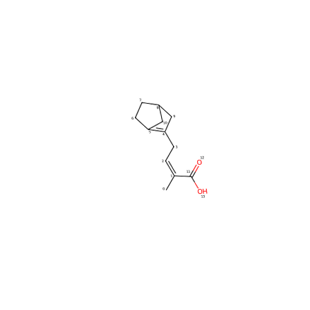 CC(=CCC1=C2CCC(C1)C2)C(=O)O